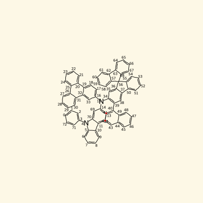 c1ccc(-n2c3ccccc3c3ccc(N(c4ccc5c6ccccc6c6ccccc6c5c4)c4cc5c(cc4-c4cccc6ccccc46)-c4ccccc4C54c5ccccc5-c5ccccc54)cc32)cc1